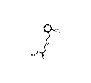 CC(C)(C)OC(=O)CCOCCc1ccccc1C(F)(F)F